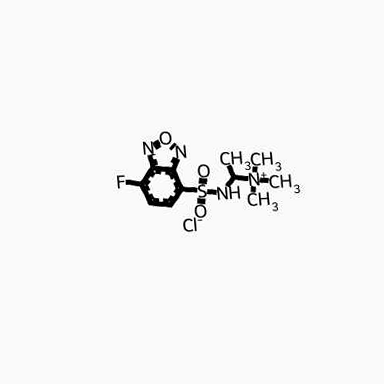 CC(NS(=O)(=O)c1ccc(F)c2nonc12)[N+](C)(C)C.[Cl-]